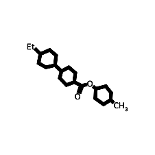 CCC1CCC(C2CCC(C(=O)OC3CCC(C)CC3)CC2)CC1